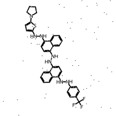 FC(F)(F)c1ccc(NNc2ccc(NNc3ccc(NNc4ccc(N5CCCC5)s4)c4ccccc34)c3ccccc23)cc1